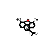 COC1=CC=C2[C@H]3Cc4ccc(O)c5c4[C@@]2(CCN3C(C)=O)[C@H]1O5